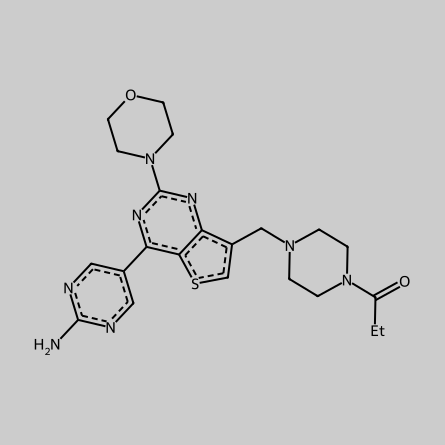 CCC(=O)N1CCN(Cc2csc3c(-c4cnc(N)nc4)nc(N4CCOCC4)nc23)CC1